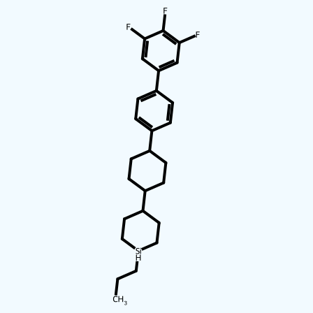 CCC[SiH]1CCC(C2CCC(c3ccc(-c4cc(F)c(F)c(F)c4)cc3)CC2)CC1